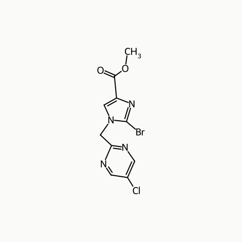 COC(=O)c1cn(Cc2ncc(Cl)cn2)c(Br)n1